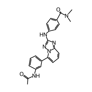 CC(=O)Nc1cccc(-c2cccc3nc(Nc4ccc(C(=O)N(C)C)cc4)nn23)c1